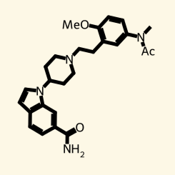 COc1ccc(N(C)C(C)=O)cc1CCN1CCC(n2ccc3ccc(C(N)=O)cc32)CC1